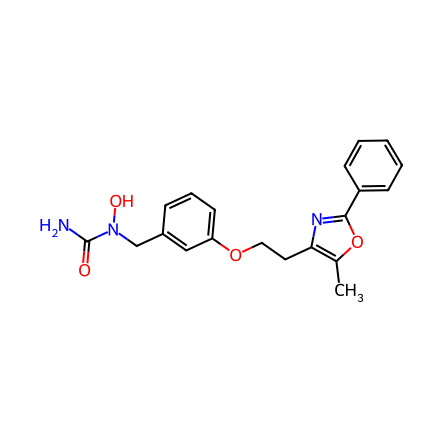 Cc1oc(-c2ccccc2)nc1CCOc1cccc(CN(O)C(N)=O)c1